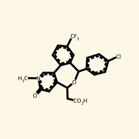 Cn1cc2c(cc1=O)C(CC(=O)O)OC(c1ccc(Cl)cc1)c1cc(C(F)(F)F)ccc1-2